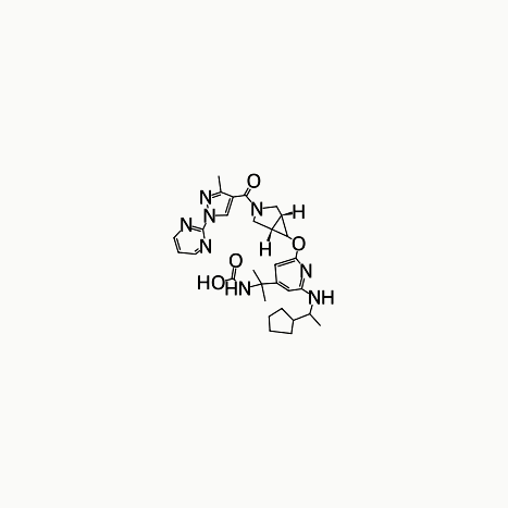 Cc1nn(-c2ncccn2)cc1C(=O)N1C[C@@H]2C(Oc3cc(C(C)(C)NC(=O)O)cc(NC(C)C4CCCC4)n3)[C@@H]2C1